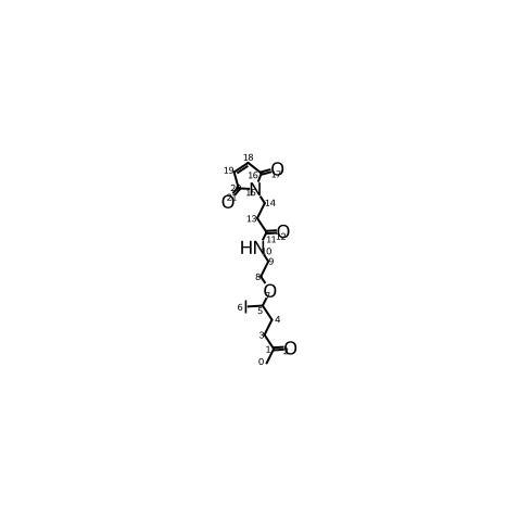 CC(=O)CCC(I)OCCNC(=O)CCN1C(=O)C=CC1=O